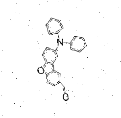 O=Cc1ccc2oc3ccc(N(c4ccccc4)c4ccccc4)cc3c2c1